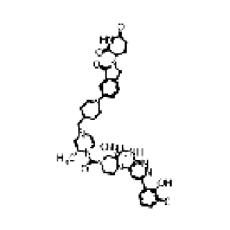 C[C@@H]1CN(CC2CCN(c3ccc4c(c3)C(=O)N([C@@H]3CCC(=O)NC3=O)C4)CC2)C[C@H](C)N1C(=O)N1CCN2c3cc(-c4cccc(Cl)c4O)nnc3NC[C@@]2(C)C1